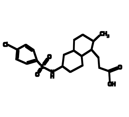 CC1CCC2CC(NS(=O)(=O)c3ccc(Cl)cc3)CCC2C1CCC(=O)O